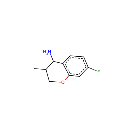 CC1COc2cc(F)ccc2C1N